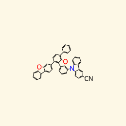 N#Cc1ccc2c(c1)c1ccccc1n2-c1cccc2c1oc1c(-c3ccccc3)ccc(-c3ccc4c(c3)oc3ccccc34)c12